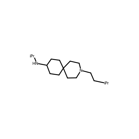 CC(C)CCN1CCC2(CCC(NC(C)C)CC2)CC1